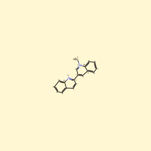 CCCC[n+]1cc(-c2ccc3ccccc3n2)cc2ccccc21